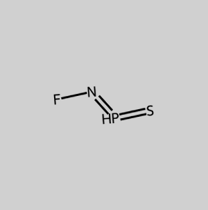 FN=[PH]=S